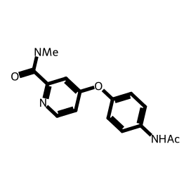 CNC(=O)c1cc(Oc2ccc(NC(C)=O)cc2)ccn1